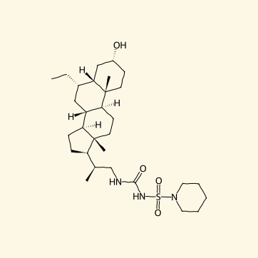 CC[C@H]1C[C@@H]2[C@H](CC[C@]3(C)[C@@H]([C@H](C)CNC(=O)NS(=O)(=O)N4CCCCC4)CC[C@@H]23)[C@@]2(C)CC[C@@H](O)C[C@@H]12